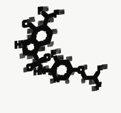 O=S(=O)(Nc1ncc(OCC(F)F)cc1F)c1c[nH]c2c(Cl)c(C(F)F)ccc12